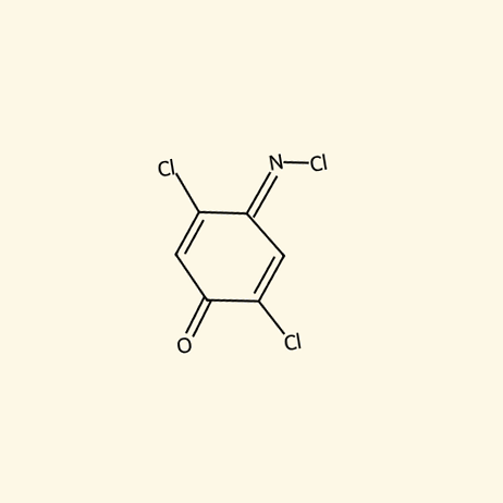 O=C1C=C(Cl)C(=NCl)C=C1Cl